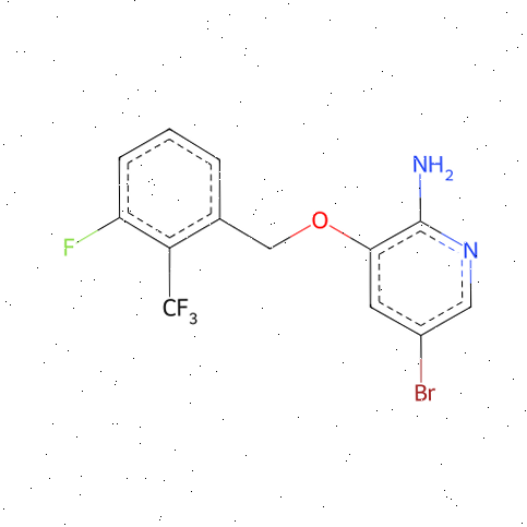 Nc1ncc(Br)cc1OCc1cccc(F)c1C(F)(F)F